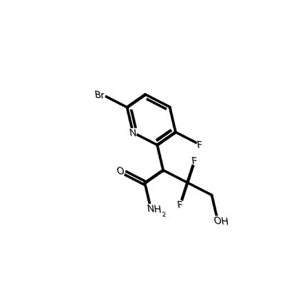 NC(=O)[C](c1nc(Br)ccc1F)C(F)(F)CO